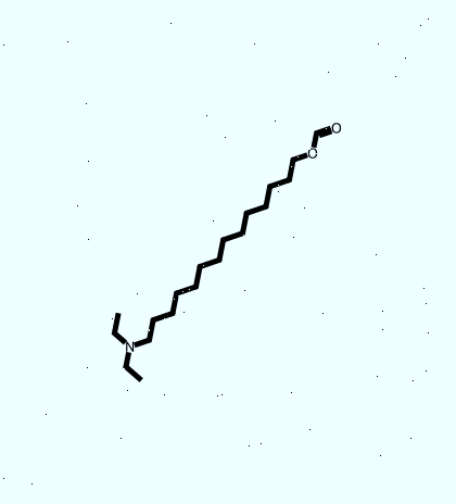 CCN(CC)CCCCCCCCCCCCCCOC=O